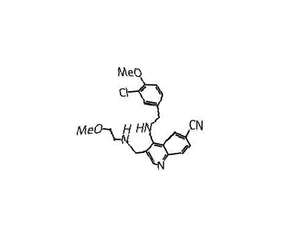 COCCNCc1cnc2ccc(C#N)cc2c1NCc1ccc(OC)c(Cl)c1